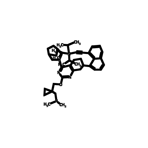 CC(C)[Si](C#Cc1cccc2cccc(C3CCc4c(nc(OCC5(CN(C)C)CC5)nc4N4CC5CCC(C5)C4)C3)c12)(C(C)C)C(C)C